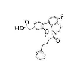 COc1cc(CC(=O)O)ccc1-c1ccc(F)c2c1CN(C(=O)CCCc1ccccc1)CC2